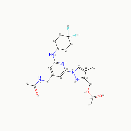 CC(=O)NCc1cc(NC2CCC(F)(F)CC2)nc(-n2cc(C)c(COC(C)=O)n2)c1